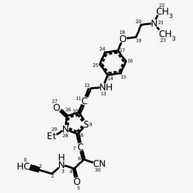 C#CCNC(=O)C(=C=c1sc(=C=CNc2ccc(OCCN(C)C)cc2)c(=O)n1CC)C#N